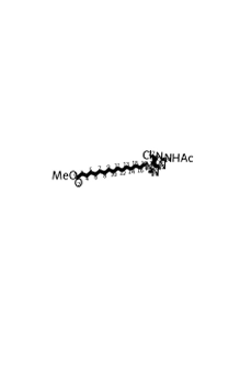 COC(=O)CCCCCCCCCCCCCCCn1cnc2nc(NC(C)=O)nc(Cl)c21